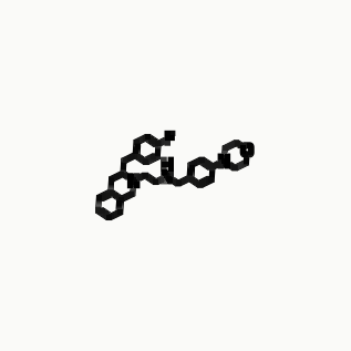 Fc1ccc(CC2Cc3ccccc3CN2CCNCc2ccc(N3CCOCC3)cc2)cc1